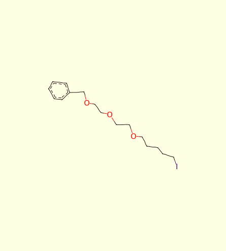 ICCCCCOCCOCCOCc1ccccc1